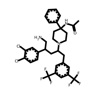 CC(=O)NC1(c2ccccc2)CCN(C(Cc2cc(C(F)(F)F)cc(C(F)(F)F)c2)CC(CN)c2ccc(Cl)c(Cl)c2)CC1